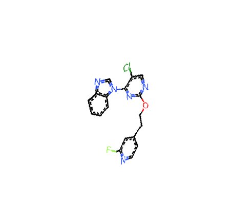 Fc1cc(CCOc2ncc(Cl)c(-n3cnc4ccccc43)n2)ccn1